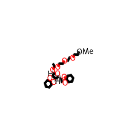 COCCOCCOCCOC(C)OC1O[C@H](C2COC3(CCCCC3)O2)[C@@H]2OC3(CCCCC3)O[C@H]12